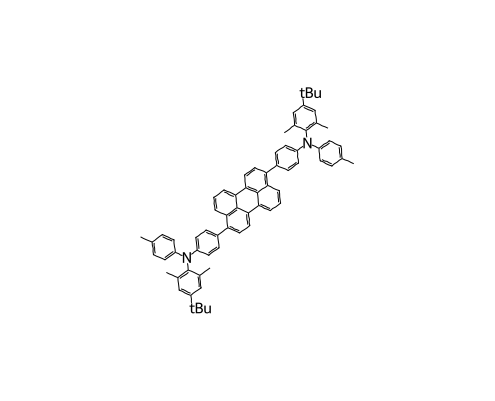 Cc1ccc(N(c2ccc(-c3ccc4c5cccc6c(-c7ccc(N(c8ccc(C)cc8)c8c(C)cc(C(C)(C)C)cc8C)cc7)ccc(c7cccc3c74)c65)cc2)c2c(C)cc(C(C)(C)C)cc2C)cc1